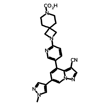 Cn1cc(-c2cc(-c3ccc(N4CC5(CCN(C(=O)O)CC5)C4)nc3)c3c(C#N)cnn3c2)cn1